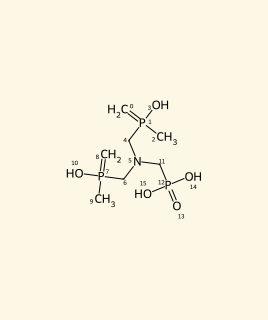 C=P(C)(O)CN(CP(=C)(C)O)CP(=O)(O)O